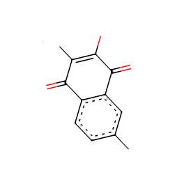 CCCCc1ccc2c(c1)C(=O)C(O)=C(C)C2=O